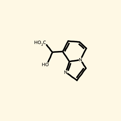 O=C(O)C(O)c1cccn2ccnc12